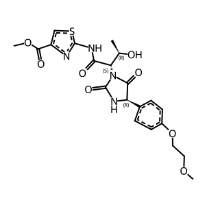 COCCOc1ccc([C@H]2NC(=O)N([C@H](C(=O)Nc3nc(C(=O)OC)cs3)[C@@H](C)O)C2=O)cc1